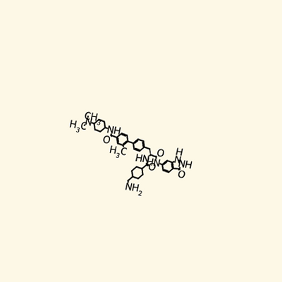 Cc1cc(C(=O)NC2CCC(N(C)C)CC2)ccc1-c1ccc(C[C@H](NC(=O)C2CCC(CN)CC2)C(=O)Nc2ccc3c(=O)[nH][nH]c3c2)cc1